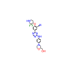 N#Cc1cc(-c2ncnc(Nc3ccc(N4CCOC(CO)C4)cc3)n2)ccc1OC1CCNCC1(F)F